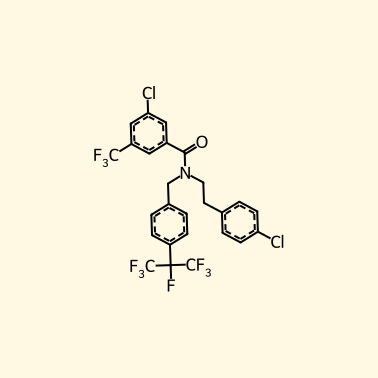 O=C(c1cc(Cl)cc(C(F)(F)F)c1)N(CCc1ccc(Cl)cc1)Cc1ccc(C(F)(C(F)(F)F)C(F)(F)F)cc1